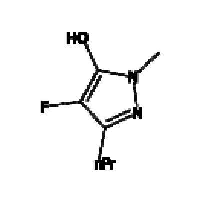 CCCc1nn(C)c(O)c1F